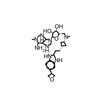 CN1CNC2C(NCN2[C@@H]2O[C@H](CN(C)[C@H]3C[C@@H](CCC4Nc5ccc(C6COC6)cc5N4)C3)[C@@H](O)[C@H]2O)C1N